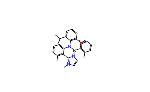 Cc1cccc(C)c1B1N(c2c(C(C)C)cccc2C(C)C)c2cccc(C)c2-c2n1cc[n+]2C